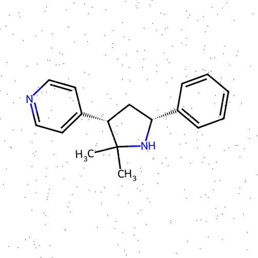 CC1(C)N[C@@H](c2ccccc2)C[C@H]1c1ccncc1